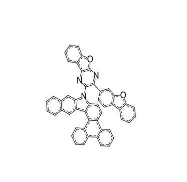 c1ccc2cc3c(cc2c1)c1c2c4ccccc4c4ccccc4c2ccc1n3-c1nc2c(nc1-c1ccc3c(c1)oc1ccccc13)oc1ccccc12